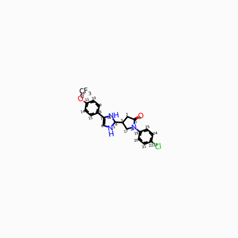 O=C1CC(C2NC=C(c3ccc(OC(F)(F)F)cc3)N2)CN1c1ccc(Cl)cc1